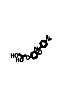 CN(C)c1ccc(-c2nc3cc(OC[C@@H](O)CO)ccc3o2)cc1